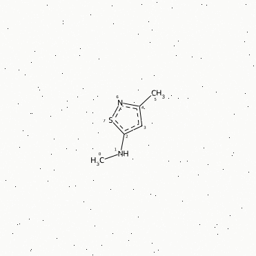 CNc1cc(C)ns1